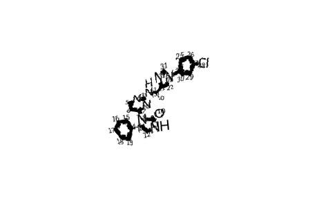 C[C@H](Nc1nccc(N2C(=O)NC[C@@H]2c2ccccc2)n1)c1cn(-c2ccc(Cl)cc2)cn1